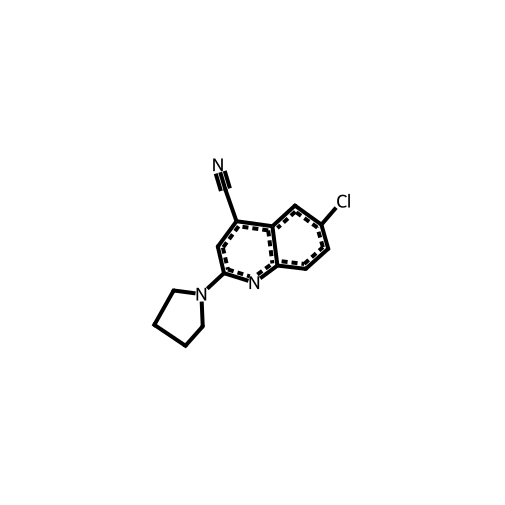 N#Cc1cc(N2CCCC2)nc2ccc(Cl)cc12